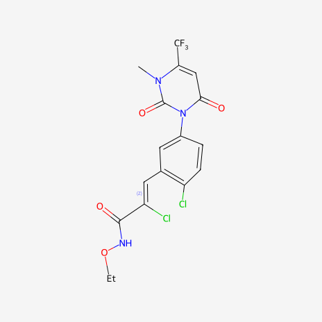 CCONC(=O)/C(Cl)=C/c1cc(-n2c(=O)cc(C(F)(F)F)n(C)c2=O)ccc1Cl